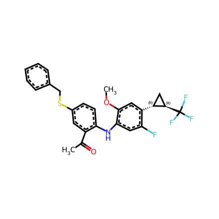 COc1cc([C@@H]2C[C@H]2C(F)(F)F)c(F)cc1Nc1ccc(SCc2ccccc2)cc1C(C)=O